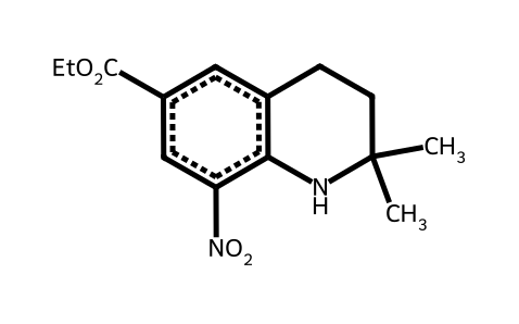 CCOC(=O)c1cc2c(c([N+](=O)[O-])c1)NC(C)(C)CC2